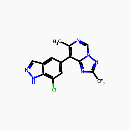 Cc1ncn2nc(C(F)(F)F)nc2c1-c1cc(Cl)c2[nH]ncc2c1